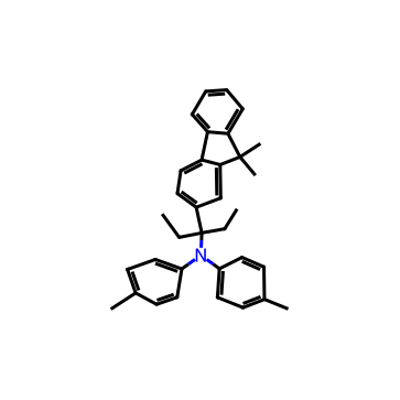 CCC(CC)(c1ccc2c(c1)C(C)(C)c1ccccc1-2)N(c1ccc(C)cc1)c1ccc(C)cc1